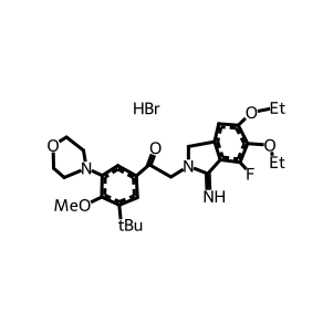 Br.CCOc1cc2c(c(F)c1OCC)C(=N)N(CC(=O)c1cc(N3CCOCC3)c(OC)c(C(C)(C)C)c1)C2